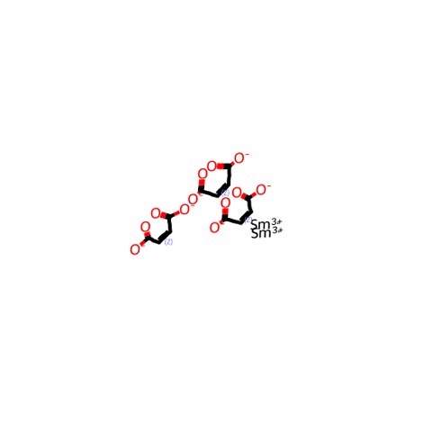 O=C([O-])/C=C\C(=O)[O-].O=C([O-])/C=C\C(=O)[O-].O=C([O-])/C=C\C(=O)[O-].[Sm+3].[Sm+3]